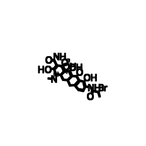 CC(Br)C(=O)Nc1ccc2c(c1O)C(=O)C1=C(O)[C@]3(O)C(=O)C(C(N)=O)=C(O)[C@@H](N(C)C)C3CC1C2